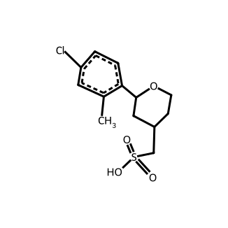 Cc1cc(Cl)ccc1C1CC(CS(=O)(=O)O)CCO1